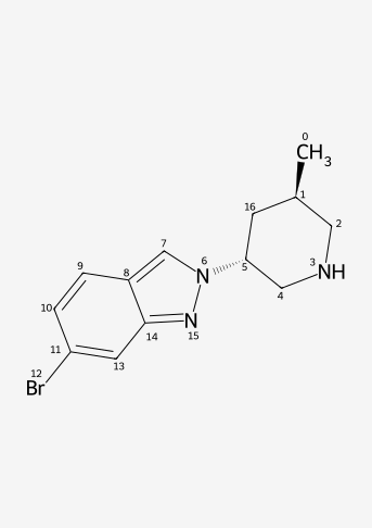 C[C@H]1CNC[C@H](n2cc3ccc(Br)cc3n2)C1